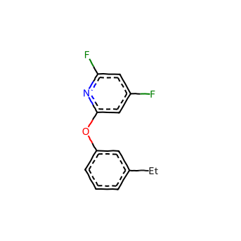 CCc1cccc(Oc2cc(F)cc(F)n2)c1